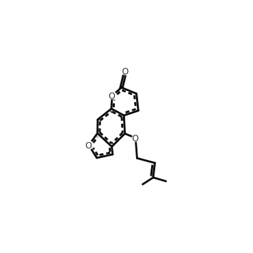 CC(C)=CCOc1c2ccoc2cc2oc(=O)ccc12